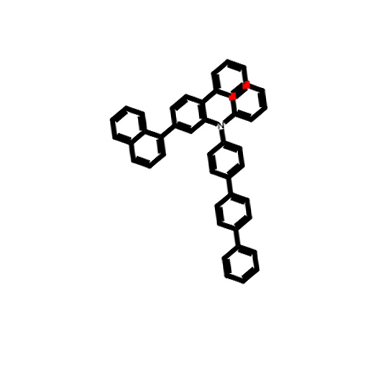 c1ccc(-c2ccc(-c3ccc(N(c4ccccc4)c4cc(-c5cccc6ccccc56)ccc4-c4ccccc4)cc3)cc2)cc1